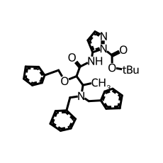 CC(C(OCc1ccccc1)C(=O)Nc1ccnn1C(=O)OC(C)(C)C)N(Cc1ccccc1)Cc1ccccc1